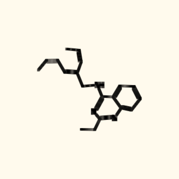 C\C=C/C=C(\C=C/C)CNc1nc(CC)nc2ccccc12